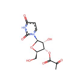 CC(=O)C(=O)O[C@H]1[C@@H](O)[C@H](n2ccc(=O)[nH]c2=O)O[C@@H]1CO